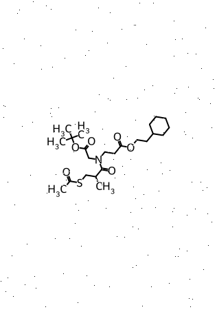 CC(=O)SCC(C)C(=O)N(CCC(=O)OCCC1CCCCC1)CC(=O)OC(C)(C)C